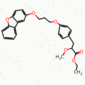 CCOC(=O)C(Cc1ccc(OCCCOc2ccc3oc4ccccc4c3c2)cc1)OC